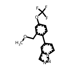 COCc1cc(OC(F)(F)F)ccc1-c1ccn2nncc2c1